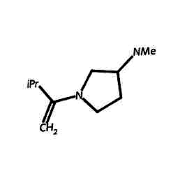 C=C(C(C)C)N1CCC(NC)C1